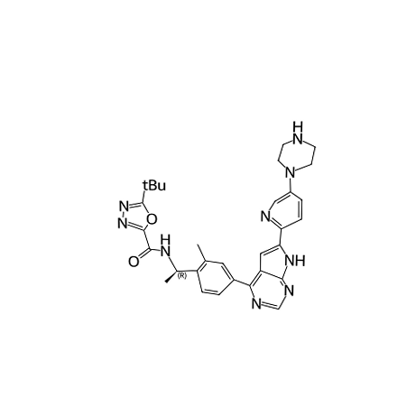 Cc1cc(-c2ncnc3[nH]c(-c4ccc(N5CCNCC5)cn4)cc23)ccc1[C@@H](C)NC(=O)c1nnc(C(C)(C)C)o1